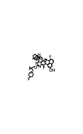 C#Cc1c(F)ccc2cc(O)cc(-c3nc4c5c(nc(OCC6(CN7CCC(F)CC7)CC6)nc5c3F)N3C[C@@]5(C)CC[C@H](N5)[C@H]3CC4)c12